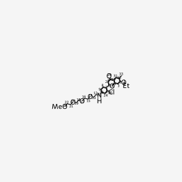 CCOc1cc2oc(-c3ccc(NCCOCCOCCOCCOC)cc3Cl)cc(=O)c2cc1C